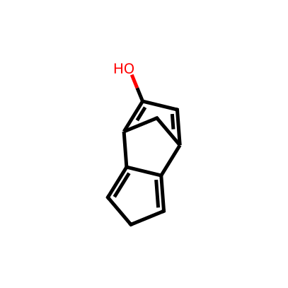 OC1=C2CC(=C1)C1=CCC=C12